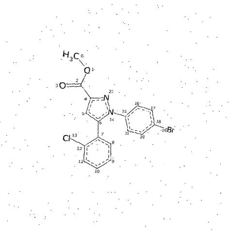 COC(=O)c1cc(-c2ccccc2Cl)n(-c2ccc(Br)cc2)n1